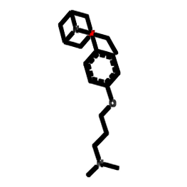 CCN1CC2CC(C1)N2Cc1ccc(OCCCN(C)C)cc1